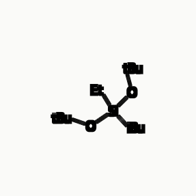 CCC(C)[Si](CC)(OC(C)(C)C)OC(C)(C)C